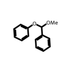 COC(Oc1ccccc1)c1ccccc1